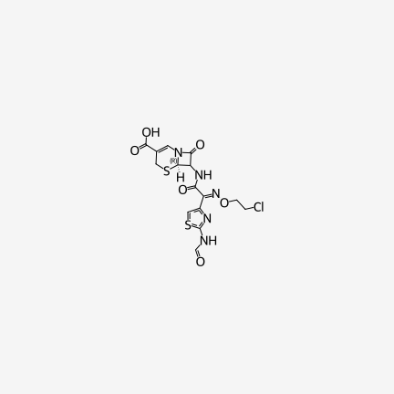 O=CNc1nc(C(=NOCCCl)C(=O)NC2C(=O)N3C=C(C(=O)O)CS[C@H]23)cs1